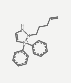 C=CCCCN1NC=C[N+]1(c1ccccc1)c1ccccc1